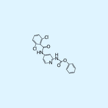 O=C(Nc1cc(NC(=O)c2c(Cl)cccc2Cl)ccn1)Oc1ccccc1